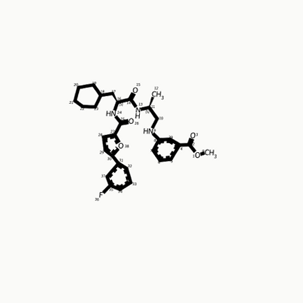 COC(=O)c1cccc(NC[C@H](C)NC(=O)[C@H](CC2CCCCC2)NC(=O)c2ccc(-c3cccc(F)c3)o2)c1